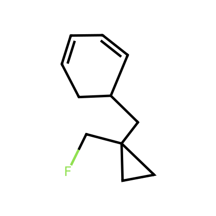 FCC1(CC2C=CC=CC2)CC1